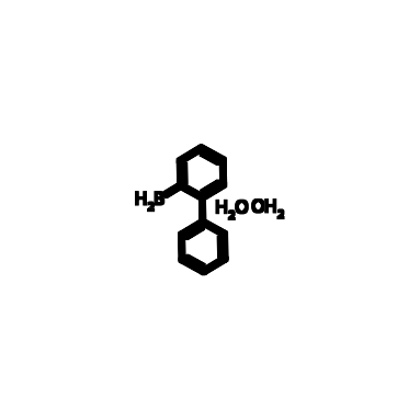 Bc1ccccc1-c1ccccc1.O.O